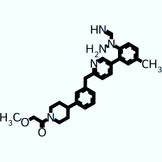 COCC(=O)N1CCC(c2cccc(Cc3ccc(-c4cc(C)ccc4N(N)C=N)cn3)c2)CC1